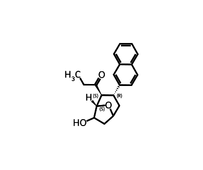 CCC(=O)[C@@H]1[C@@H]2OC(CC2O)C[C@H]1c1ccc2ccccc2c1